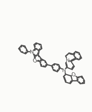 C1=CC(N(C2=CN3CC=c4ccccc4=C3C=C2)c2ccc(-c3ccc4oc5c(c4c3)c3ccccc3n5-c3ccccc3)cc2)C2Oc3ccccc3C2=C1